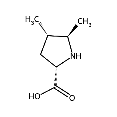 C[C@H]1C[C@@H](C(=O)O)N[C@@H]1C